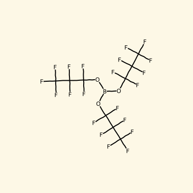 FC(F)(F)C(F)(F)C(F)(F)OB(OC(F)(F)C(F)(F)C(F)(F)F)OC(F)(F)C(F)(F)C(F)(F)F